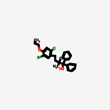 C=CCOc1cc(Cl)c(CCC(C)(C)[Si](O)(c2ccccc2)c2ccccc2)cc1Br